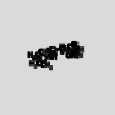 CC(=O)OC(c1ccc(-c2ccnc(NC3CC(C)(C)NC(C)(C)C3)n2)s1)C(C)(C)[N+]([O-])=P